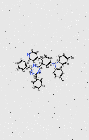 Cc1ccc2c(c1)c1cc(C)ccc1n2-c1ccc(-c2ccncc2)c(-c2nc(-c3ccccc3)nc(-c3ccccc3)n2)c1